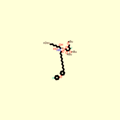 CCCCCCCCCCCCCC[C@@H](O)[C@@H](O)[C@H](CO[C@H]1OC(COCCCC)[C@@H](F)C(OCCCC)C1OCCCC)NC(=O)CCCCCCCCCCc1ccc(Oc2ccc(F)cc2)cc1